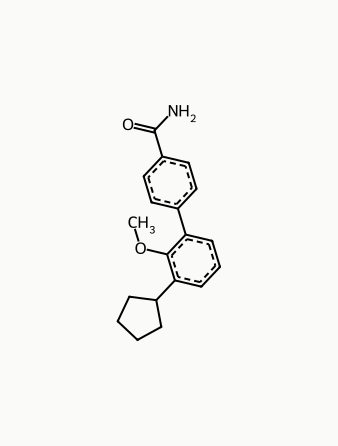 COc1c(-c2ccc(C(N)=O)cc2)cccc1C1CCCC1